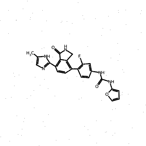 Cc1cnc(-c2ccc(-c3ccc(NC(=O)Nc4ccco4)cc3F)c3c2C(=O)NC3)[nH]1